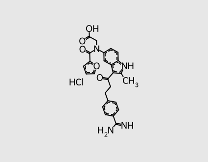 Cc1[nH]c2ccc(N(CC(=O)O)C(=O)c3ccco3)cc2c1C(=O)CCc1ccc(C(=N)N)cc1.Cl